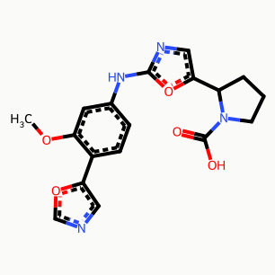 COc1cc(Nc2ncc(C3CCCN3C(=O)O)o2)ccc1-c1cnco1